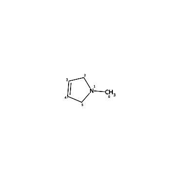 CN1C[C]=[C]C1